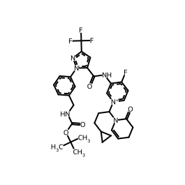 CC(C)(C)OC(=O)NCc1cccc(-n2nc(C(F)(F)F)cc2C(=O)Nc2c[n+](C(CCC3CC3)N3C=CCCC3=O)ccc2F)c1